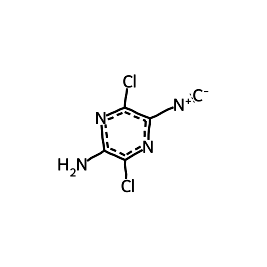 [C-]#[N+]c1nc(Cl)c(N)nc1Cl